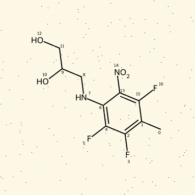 Cc1c(F)c(F)c(NCC(O)CO)c([N+](=O)[O-])c1F